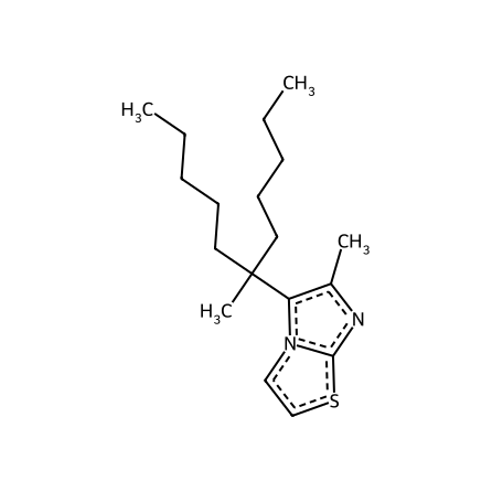 CCCCCC(C)(CCCCC)c1c(C)nc2sccn12